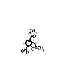 COC(=O)c1ccc([N+](=O)[O-])c2c1CC(C)O2